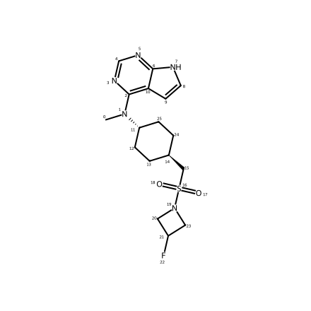 CN(c1ncnc2[nH]ccc12)[C@H]1CC[C@H](CS(=O)(=O)N2CC(F)C2)CC1